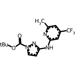 Cc1cc(C(F)(F)F)cc(Nc2ccn(C(=O)OC(C)(C)C)n2)n1